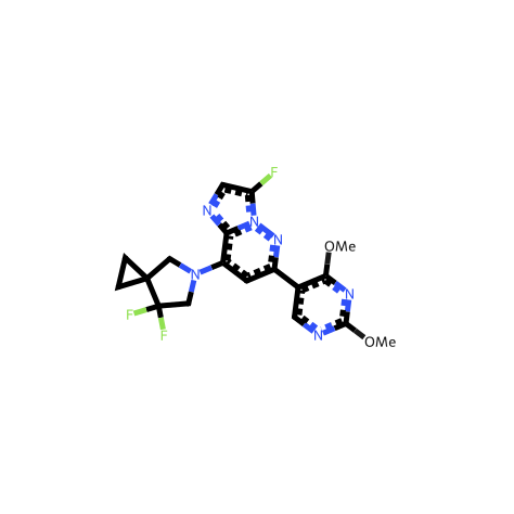 COc1ncc(-c2cc(N3CC(F)(F)C4(CC4)C3)c3ncc(F)n3n2)c(OC)n1